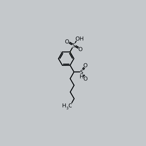 CCCCCC(c1cc[c]c(S(=O)(=O)O)c1)[SH](=O)=O